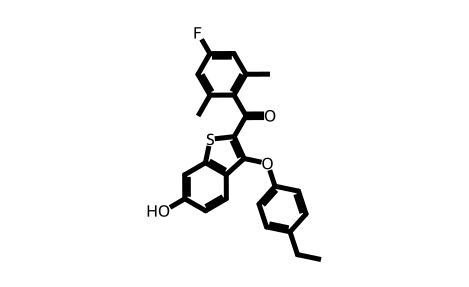 CCc1ccc(Oc2c(C(=O)c3c(C)cc(F)cc3C)sc3cc(O)ccc23)cc1